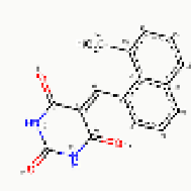 O=C1NC(=O)C(=Cc2cccc3cccc(C(=O)O)c23)C(=O)N1